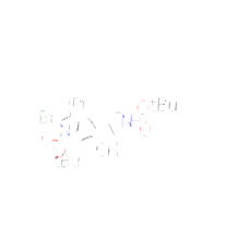 Cc1cc2c(cc1C1=CCN(C(=O)OC(C)(C)C)CC1)c(C(C)C)c(Br)n2C(=O)OC(C)(C)C